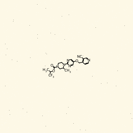 CC1CN(C(=O)OC(C)C(F)(F)F)CCN1c1ncc(OCc2ccncc2C#N)cn1